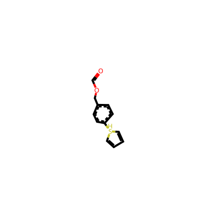 O=COCc1ccc([SH]2C=CC=C2)cc1